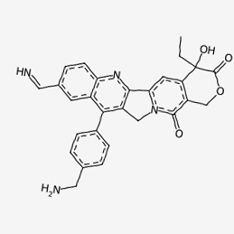 CCC1(O)C(=O)OCc2c1cc1n(c2=O)Cc2c-1nc1ccc(C=N)cc1c2-c1ccc(CN)cc1